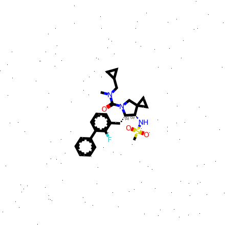 CN(CC1CC1)C(=O)N1CC2(CC2)[C@H](NS(C)(=O)=O)[C@@H]1Cc1cccc(-c2ccccc2)c1F